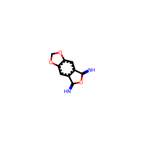 N=C1OC(=N)c2cc3c(cc21)OCO3